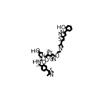 Cc1ncsc1-c1ccc([C@H](C)NC(=O)[C@@H]2C[C@@H](O)CN2C(=O)[C@@H](c2cc(OCCN3CC(c4cc5cc(-c6ccccc6O)nnc5s4)C3)no2)C(C)C)cc1